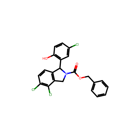 O=C(OCc1ccccc1)N1Cc2c(ccc(Cl)c2Cl)C1c1cc(Cl)ccc1O